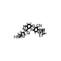 CCN(C)S(=O)(=O)Nc1ccc(F)c(Oc2ccc3ncn(C4COC5(CNC5)C4)c(=O)c3c2)c1C#N